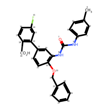 Cc1ccc(NC(=O)Nc2cc(-c3cc(F)ccc3C(=O)O)ccc2OCc2ccccc2)cc1